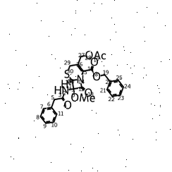 COC1(NC(=O)Cc2ccccc2)C(=O)N2C(C(=O)OCc3ccccc3)=C(COC(C)=O)CS[C@@H]21